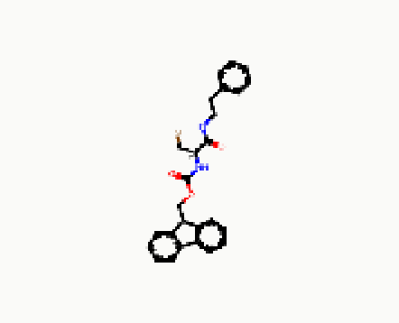 O=C(N[C@@H](CS)C(=O)NCCc1ccccc1)OCC1c2ccccc2-c2ccccc21